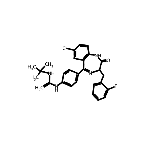 C=C(Nc1ccc(C2=NC(Cc3ccccc3F)C(=O)Nc3ccc(Cl)cc32)cc1)NC(C)(C)C